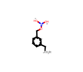 CCOC(=O)Cc1cccc(CON(O)O)c1